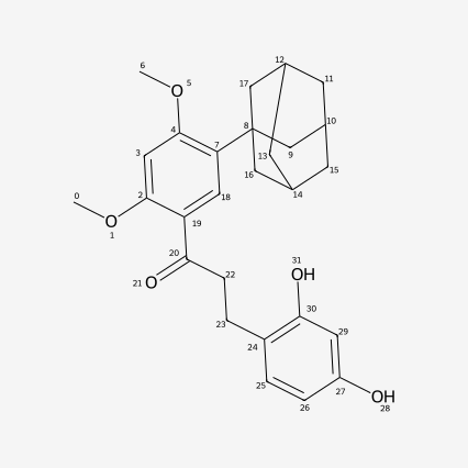 COc1cc(OC)c(C23CC4CC(CC(C4)C2)C3)cc1C(=O)CCc1ccc(O)cc1O